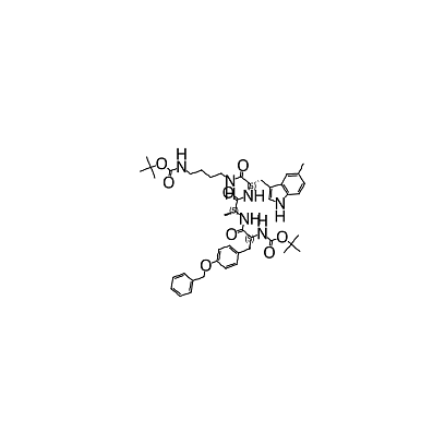 Cc1ccc2[nH]cc(C[C@H](NC(=O)[C@H](C)NC(=O)[C@H](Cc3ccc(OCc4ccccc4)cc3)NC(=O)OC(C)(C)C)C(=O)NCCCCNC(=O)OC(C)(C)C)c2c1